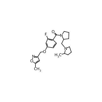 Cc1cc(COc2ccc(C(=O)N3CCCC3CN3CCCC3C)c(F)c2)no1